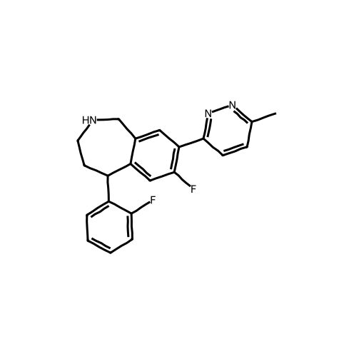 Cc1ccc(-c2cc3c(cc2F)C(c2ccccc2F)CCNC3)nn1